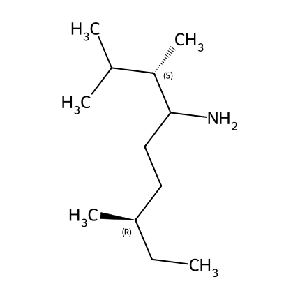 CC[C@@H](C)CCC(N)[C@@H](C)C(C)C